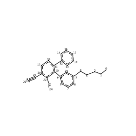 CCCCCc1cccc(-c2c(-c3ccccc3)ccc(C#N)c2F)c1